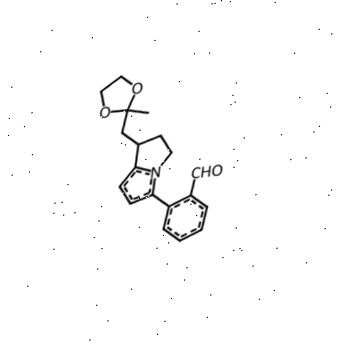 CC1(CC2CCn3c(-c4ccccc4C=O)ccc32)OCCO1